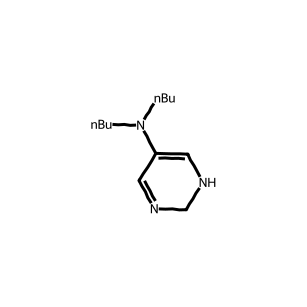 CCCCN(CCCC)C1=CNCN=C1